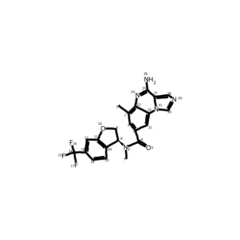 Cc1cc(C(=O)N(C)[C@@H]2COc3cc(C(F)(F)F)ccc32)cc2c1nc(N)c1cncn12